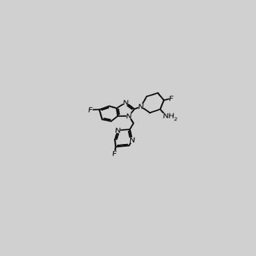 NC1CN(c2nc3cc(F)ccc3n2Cc2ncc(F)cn2)CCC1F